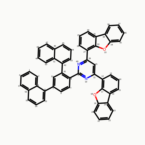 c1ccc2c(-c3ccc(-c4nc(-c5cccc6c5oc5ccccc56)cc(-c5cccc6c5oc5ccccc56)n4)c(-c4cccc5ccccc45)c3)cccc2c1